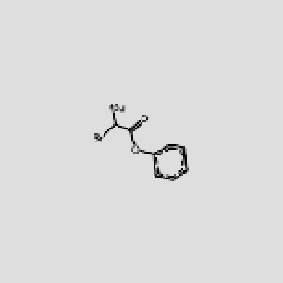 CC(C)(C)C(Br)C(=O)Oc1ccccc1